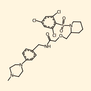 CN1CCN(c2ccc(CNC(=O)COCC3CCCCN3S(=O)(=O)c3c(Cl)cc(Cl)cc3Cl)cc2)CC1